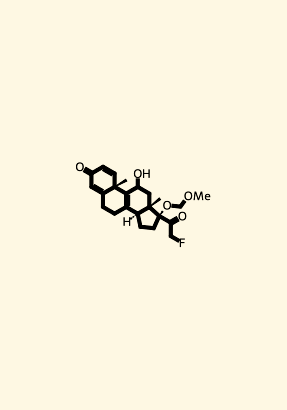 COCO[C@]1(C(=O)CF)CC[C@H]2C3=C(C(O)C[C@@]21C)[C@@]1(C)C=CC(=O)C=C1CC3